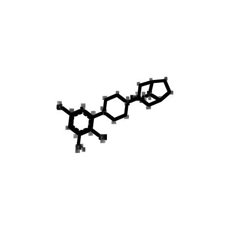 CCOC(=O)N1C2CCC1CC(N1CCN(c3nc(Cl)cc(C(F)(F)F)c3C#N)CC1)C2